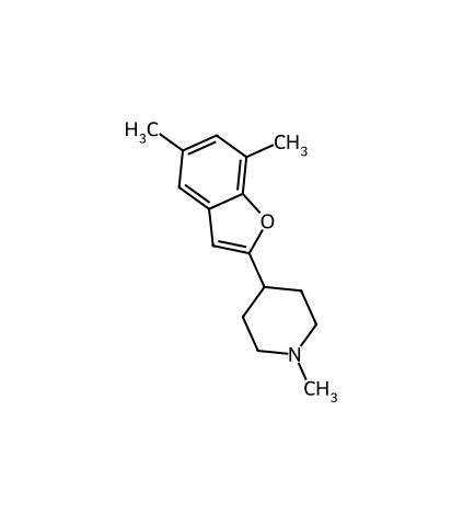 Cc1cc(C)c2oc(C3CCN(C)CC3)cc2c1